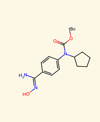 CC(C)(C)OC(=O)N(c1ccc(/C(N)=N/O)cc1)C1CCCC1